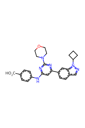 O=C(O)c1ccc(Nc2cc(-c3ccc4cnn(C5CCC5)c4c3)nc(N3CCOCC3)n2)cc1